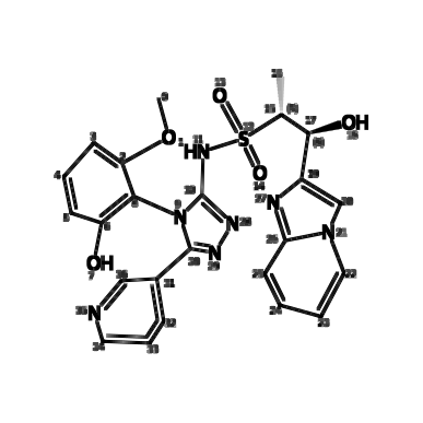 COc1cccc(O)c1-n1c(NS(=O)(=O)[C@H](C)[C@@H](O)c2cn3ccccc3n2)nnc1C1=C=C=CN=C1